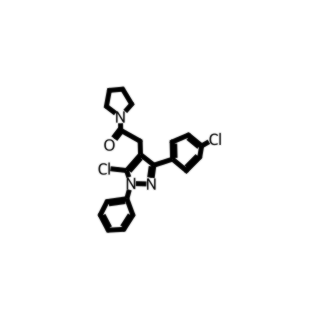 O=C(Cc1c(-c2ccc(Cl)cc2)nn(-c2ccccc2)c1Cl)N1CCCC1